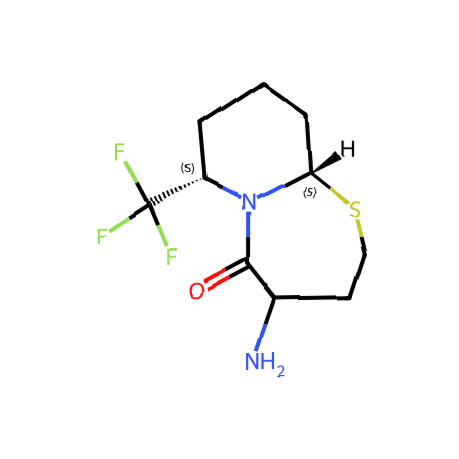 NC1CCS[C@H]2CCC[C@@H](C(F)(F)F)N2C1=O